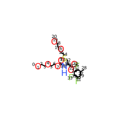 COCCOCCOC(=O)N[C@@H](CSCCOCCOC)C(=O)Oc1c(F)c(C)cc(F)c1F